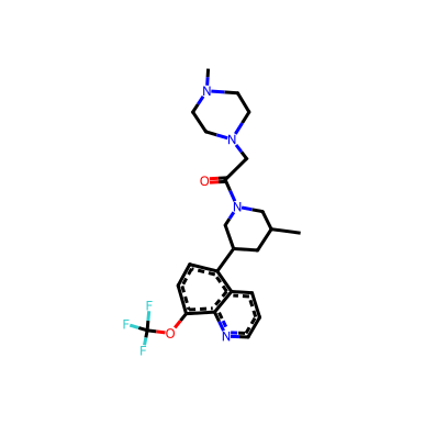 CC1CC(c2ccc(OC(F)(F)F)c3ncccc23)CN(C(=O)CN2CCN(C)CC2)C1